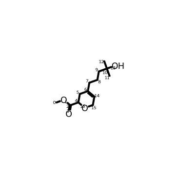 COC(=O)C1CC(CCCC(C)(C)O)=CCO1